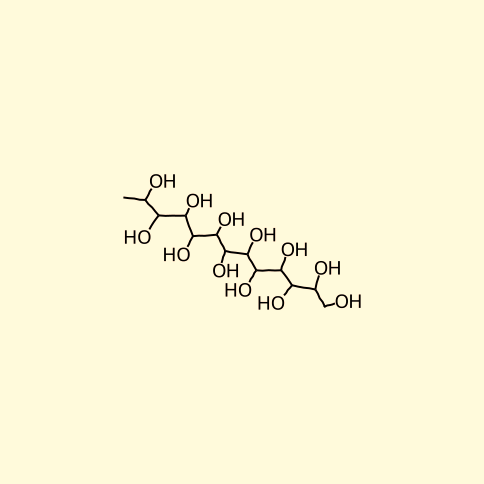 CC(O)C(O)C(O)C(O)C(O)C(O)C(O)C(O)C(O)C(O)C(O)CO